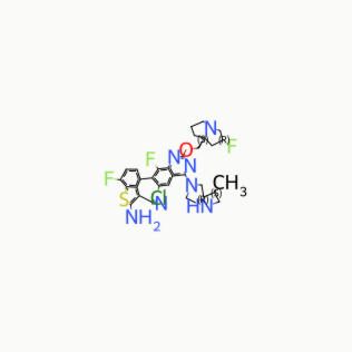 C[C@H]1CN[C@]12CCN(c1nc(OC[C@@]34CCCN3C[C@H](F)C4)nc3c(F)c(-c4ccc(F)c5sc(N)c(C#N)c45)c(Cl)cc13)C2